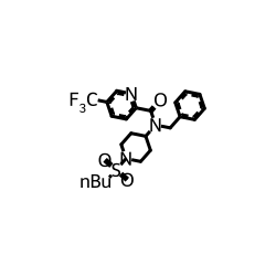 CCCCS(=O)(=O)N1CCC(N(Cc2ccccc2)C(=O)c2ccc(C(F)(F)F)cn2)CC1